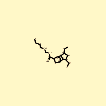 CCCCOCOC(=O)C1CC2CC1C1C(CC)CC(CC)C21